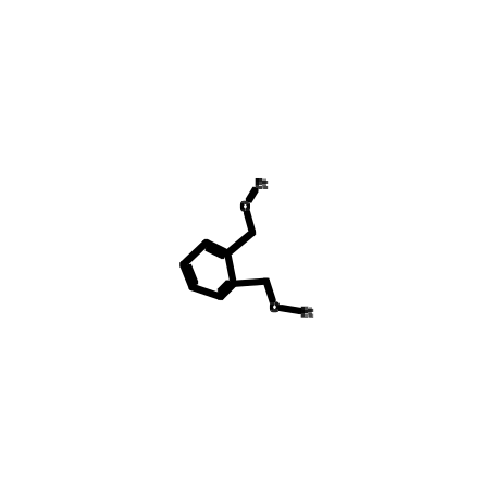 CCOCc1ccccc1COCC